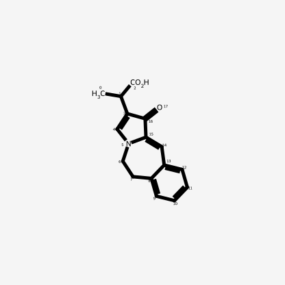 CC(C(=O)O)C1=CN2CCc3ccccc3C=C2C1=O